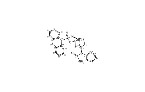 NC(=O)C(c1ccncn1)[N+]12CCC(CC1)[C@@H](OC(=O)C1c3ccccc3Cc3ccccc31)C2